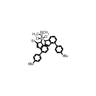 CCC1=Cc2c(-c3ccc(C(C)(C)C)cc3)cccc2[CH]1[Zr]([Cl])([Cl])([CH]1C(C)=Cc2c(-c3ccc(C(C)(C)C)cc3)cccc21)[SiH](C)C